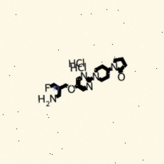 Cl.Cl.NC/C(=C\F)COc1cnc(N2CCC(N3CCCC3=O)CC2)nc1